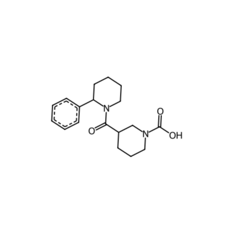 O=C(O)N1CCCC(C(=O)N2CCCCC2c2ccccc2)C1